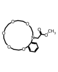 COC(=O)CN1CCOCCOCCOCCOCCOc2ccccc21